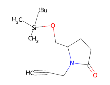 C#CCN1C(=O)CCC1CO[Si](C)(C)C(C)(C)C